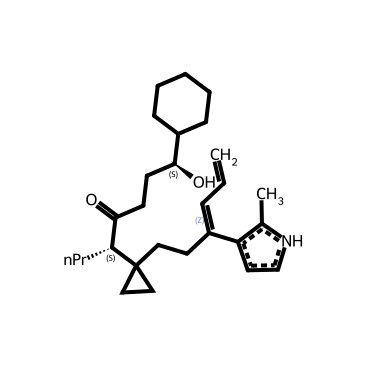 C=C/C=C(/CCC1([C@H](CCC)C(=O)CC[C@H](O)C2CCCCC2)CC1)c1cc[nH]c1C